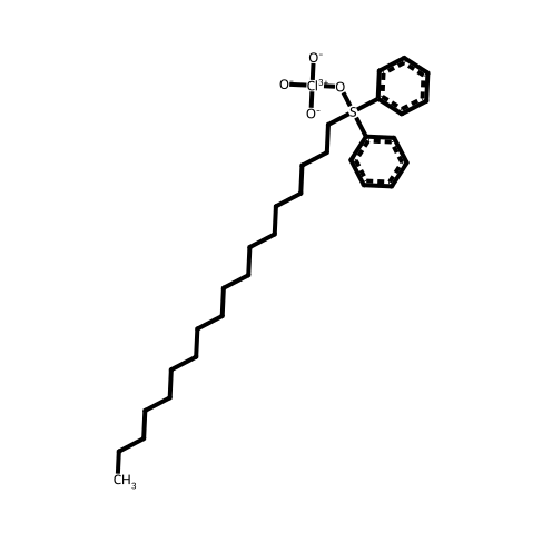 CCCCCCCCCCCCCCCCCCS(O[Cl+3]([O-])([O-])[O-])(c1ccccc1)c1ccccc1